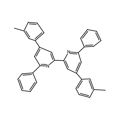 Cc1cccc(-c2cc(-c3ccccc3)nc(-c3cc(-c4cccc(C)c4)cc(-c4ccccc4)n3)c2)c1